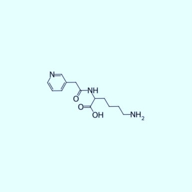 NCCCCC(NC(=O)Cc1cccnc1)C(=O)O